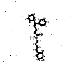 O=C(C=CC=C(c1ccccc1)c1ccccc1)NCCCCc1cccnc1